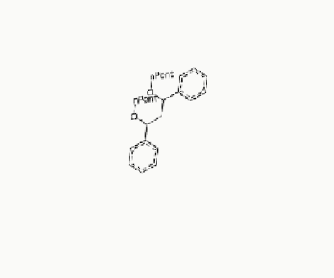 CCCCCOC(CC(OCCCCC)c1ccccc1)c1ccccc1